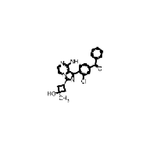 C[C@]1(O)C[C@@H](c2nc(-c3ccc(C(=O)c4ccccc4)cc3Cl)c3c(N)nccn32)C1